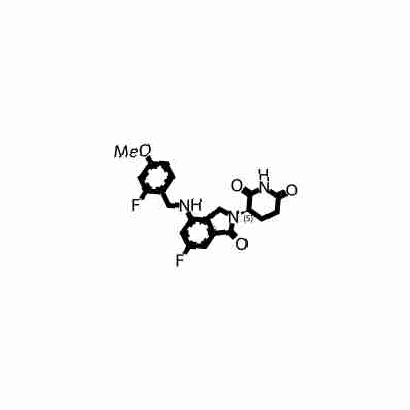 COc1ccc(CNc2cc(F)cc3c2CN([C@H]2CCC(=O)NC2=O)C3=O)c(F)c1